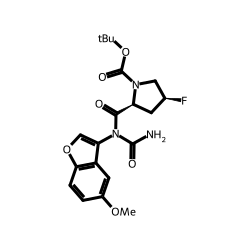 COc1ccc2occ(N(C(N)=O)C(=O)[C@@H]3C[C@H](F)CN3C(=O)OC(C)(C)C)c2c1